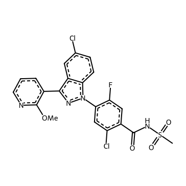 COc1ncccc1-c1nn(-c2cc(Cl)c(C(=O)NS(C)(=O)=O)cc2F)c2ccc(Cl)cc12